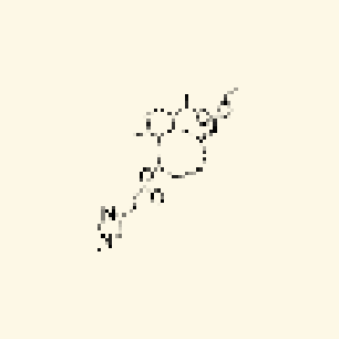 CCOC(=O)/C=C1/C/C=C\CC(OC(=O)/C=C/c2cn(C)cn2)CC2C(C)=CCC(C(C)C)C2C1